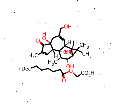 CC1=C[C@H]2[C@]3(O)[C@H](C)[C@@H](O)[C@@]4(O)[C@H]([C@@H]3C=C(CO)C[C@@]2(O)C1=O)C4(C)C.CCCCCCCCCCCCCCCC(=O)OCC(=O)O